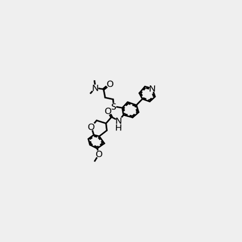 COc1ccc2c(c1)CC(C(=O)Nc1ccc(-c3ccncc3)cc1SCCC(=O)N(C)C)CO2